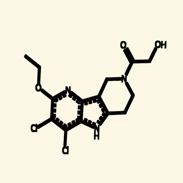 CCOc1nc2c3c([nH]c2c(Cl)c1Cl)CCN(C(=O)CO)C3